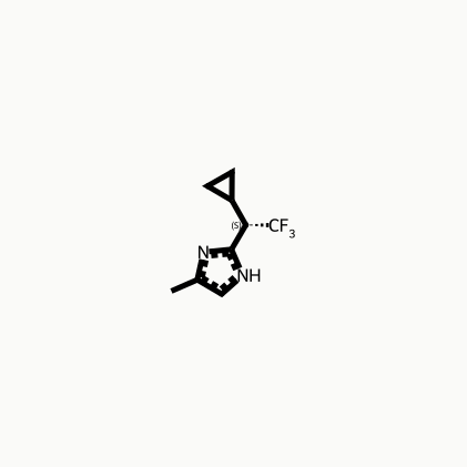 Cc1c[nH]c([C@H](C2CC2)C(F)(F)F)n1